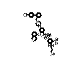 CN(C)CCCNc1ccc(S(=O)(=O)NC(=O)c2ccc(N3CCN(Cc4ccccc4-c4ccc(Cl)cc4)CC3)cc2Oc2cccc3cnccc23)cc1[N+](=O)[O-]